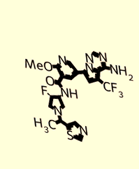 COc1ncc(-c2cc(C(F)(F)F)c3c(N)ncnn23)cc1C(=O)N[C@@H]1CN(C(C)c2cncs2)C[C@@H]1F